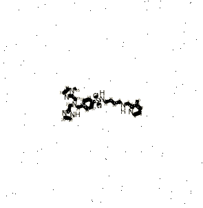 Cc1cccnc1CNCCCCNS(=O)(=O)c1ccc(CN(Cc2ncc[nH]2)Cc2nccn2C)cc1